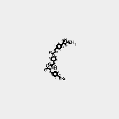 CCCCOc1ccc(C[C@H](NC(=O)CC2CCN(C(=O)CCc3ccc(-c4cnn(C)c4)cc3)CC2)C(=O)OC)cc1